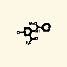 COC(Nc1ccc(Cl)cc1C(=O)C(F)(F)F)c1ccccc1